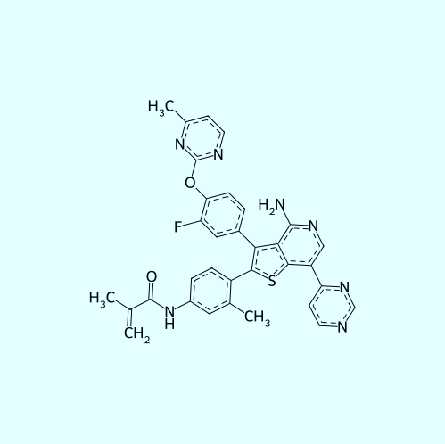 C=C(C)C(=O)Nc1ccc(-c2sc3c(-c4ccncn4)cnc(N)c3c2-c2ccc(Oc3nccc(C)n3)c(F)c2)c(C)c1